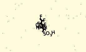 CNC.O=S(=O)(O)CC(F)C(F)C(F)C(F)C(F)CF